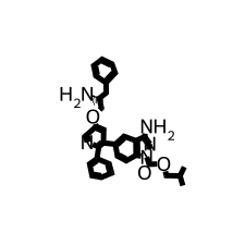 CC(C)COC(=O)n1nc(N)c2cc(-c3cc(OC[C@H](N)Cc4ccccc4)cnc3-c3ccccc3)ccc21